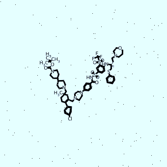 CC(C)(C)OC(=O)N1CCC(C2CCN(C[C@]3(C)CCC(c4ccc(Cl)cc4)=C(CN4CCN(c5ccc(C(=O)NS(=O)(=O)c6ccc(N[C@H](CCN7CCCOCC7)CSc7ccccc7)c(S(=O)(=O)C(F)(F)F)c6)cc5)CC4)C3)CC2)CC1